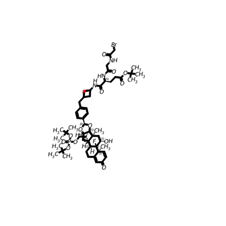 CC(C)(C)OC(=O)CC[C@H](NC(=O)CNC(=O)CBr)C(=O)NC12CC(Cc3ccc([C@@H]4O[C@@H]5C[C@H]6[C@@H]7CCC8=CC(=O)C=C[C@]8(C)[C@@]7(F)[C@@H](O)C[C@]6(C)[C@]5(C(=O)COP(=O)(OC(C)(C)C)OC(C)(C)C)O4)cc3)(C1)C2